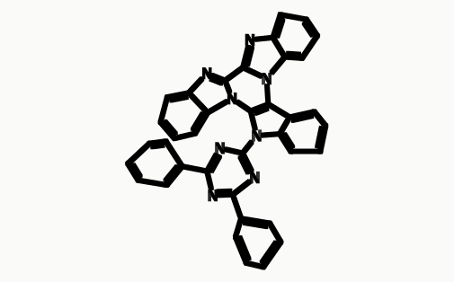 c1ccc(-c2nc(-c3ccccc3)nc(-n3c4ccccc4c4c3n3c5ccccc5nc3c3nc5ccccc5n34)n2)cc1